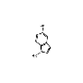 Cn1ccc2cc([18F])ccc21